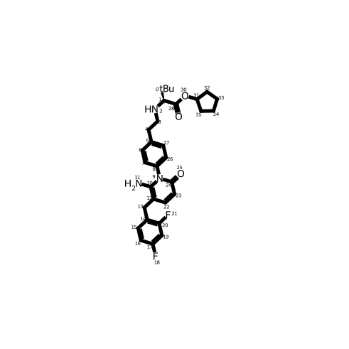 CC(C)(C)[C@H](NCCc1ccc(-n2c(N)c(Cc3ccc(F)cc3F)ccc2=O)cc1)C(=O)OC1CCCC1